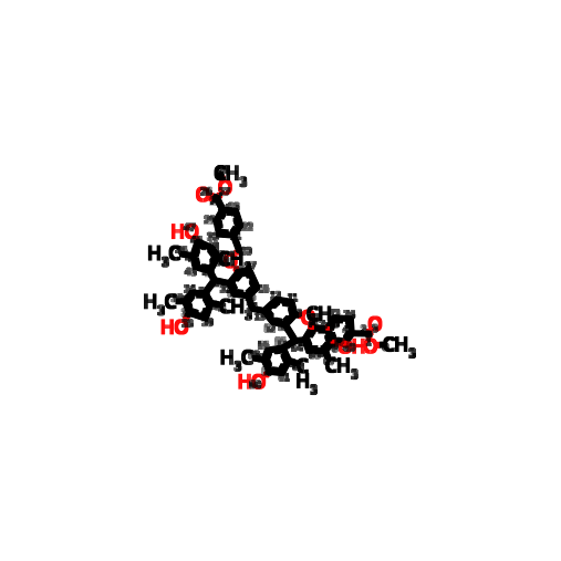 COC(=O)c1ccc(COc2ccc(Cc3ccc(OCc4ccc(C(=O)OC)cc4)c(C(c4cc(C)c(O)cc4C)c4cc(C)c(O)cc4C)c3)cc2C(c2cc(C)c(O)cc2C)c2cc(C)c(O)cc2C)cc1